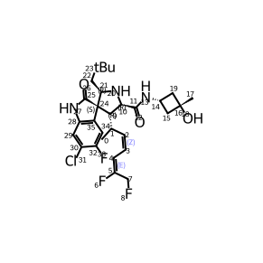 CC(/C=C\C=C(\F)CF)[C@H]1[C@H](C(=O)N[C@H]2C[C@@](C)(O)C2)N[C@H](CC(C)(C)C)[C@]12C(=O)Nc1cc(Cl)c(F)cc12